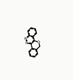 c1ccc2c(c1)COc1c-2nnc2ccccc12